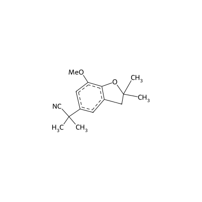 COc1cc(C(C)(C)C#N)cc2c1OC(C)(C)C2